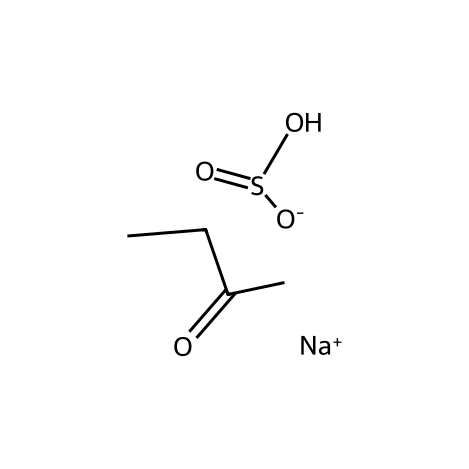 CCC(C)=O.O=S([O-])O.[Na+]